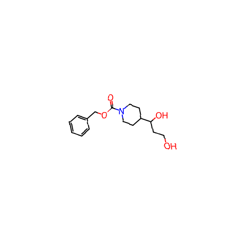 O=C(OCc1ccccc1)N1CCC(C(O)CCO)CC1